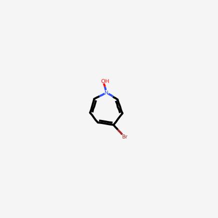 ON1C=CC=C(Br)C=C1